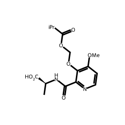 COc1ccnc(C(=O)N[C@@H](C)C(=O)O)c1OCOC(=O)C(C)C